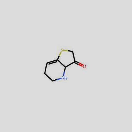 O=C1CSC2=CCCNC12